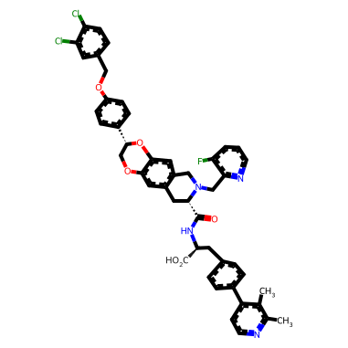 Cc1nccc(-c2ccc(C[C@H](NC(=O)[C@@H]3Cc4cc5c(cc4CN3Cc3ncccc3F)O[C@@H](c3ccc(OCc4ccc(Cl)c(Cl)c4)cc3)CO5)C(=O)O)cc2)c1C